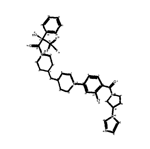 O=C(c1ccc(N2CCC(CC3CCN(C(=O)[C@](O)(c4ccccc4)C(F)(F)F)CC3)CC2)cc1Cl)N1CCC(n2ccnc2)C1